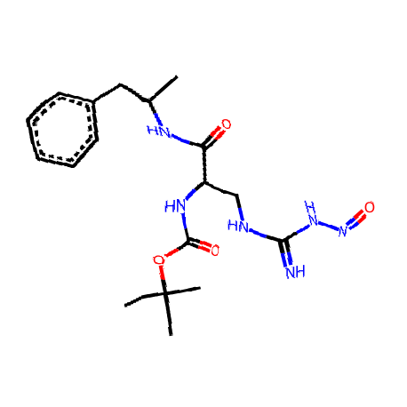 CC(Cc1ccccc1)NC(=O)C(CNC(=N)NN=O)NC(=O)OC(C)(C)C